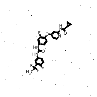 CC(F)(F)c1cc(NC(=O)Nc2ccc(Oc3ccnc(NC(=O)C4CC4)c3)c(F)c2)ccc1F